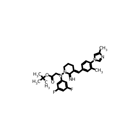 Cc1cn(-c2ccc(/C=C3\CCCN(N(CC(=O)OC(C)(C)C)c4cc(F)cc(F)c4)C3=N)cc2C)cn1